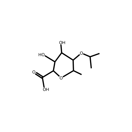 CC(C)OC1C(C)OC(C(=O)O)C(O)C1O